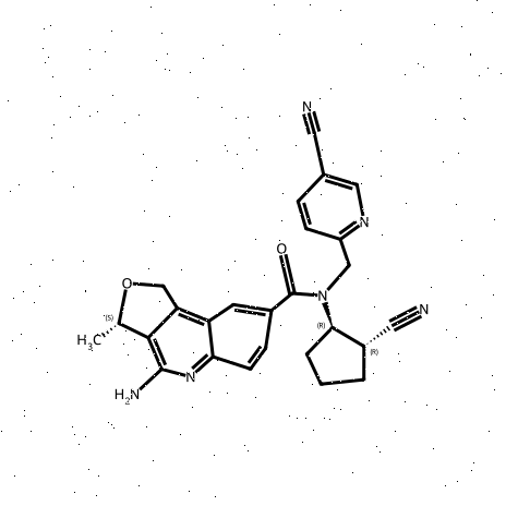 C[C@@H]1OCc2c1c(N)nc1ccc(C(=O)N(Cc3ccc(C#N)cn3)[C@@H]3CCC[C@H]3C#N)cc21